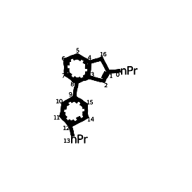 CCCC1=Cc2c(cccc2-c2ccc(CCC)cc2)[CH]1